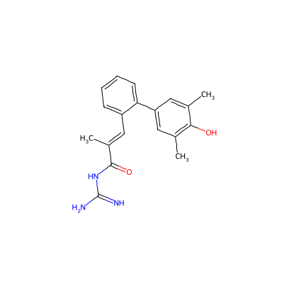 C/C(=C\c1ccccc1-c1cc(C)c(O)c(C)c1)C(=O)NC(=N)N